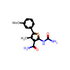 COc1cccc(-c2sc(NC(N)=O)c(C(N)=O)c2C)c1